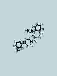 O[C@@H]1C[C@H](CN2CCC(c3cccc(F)c3)CC2)CCc2ccccc21